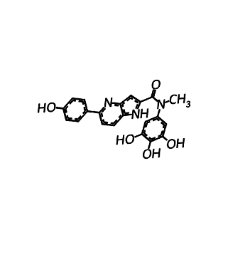 CN(C(=O)c1cc2nc(-c3ccc(O)cc3)ccc2[nH]1)c1cc(O)c(O)c(O)c1